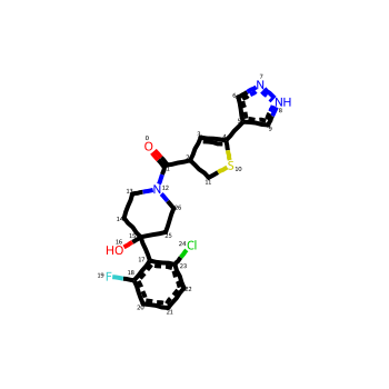 O=C(C1C=C(c2cn[nH]c2)SC1)N1CCC(O)(c2c(F)cccc2Cl)CC1